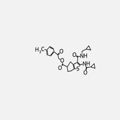 Cc1ccc(C(=O)COC(=O)C2CCc3sc(NC(=O)C4CC4)c(C(=O)NCC4CC4)c3C2)cc1